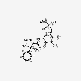 CN[C@H](C(=O)N[C@H](C(=O)N(C)[C@H](/C=C/P(=O)(O)OC)C(C)C)C(C)(C)C)C(C)(C)c1ccccc1